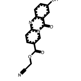 N#CCOC(=O)c1ccc2nc3ccc(O)cc3c(=O)n2c1